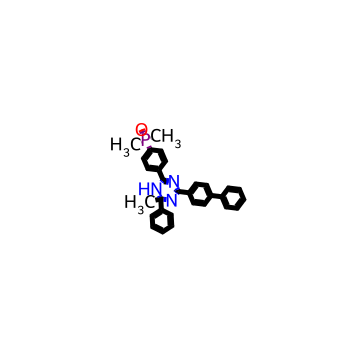 CC1(c2ccccc2)N=C(c2ccc(-c3ccccc3)cc2)N=C(c2ccc(P(C)(C)=O)cc2)N1